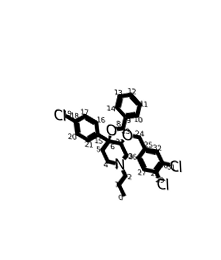 CCCN1CC[C@](OCc2ccccc2)(c2ccc(Cl)cc2)[C@@H](OCc2ccc(Cl)c(Cl)c2)C1